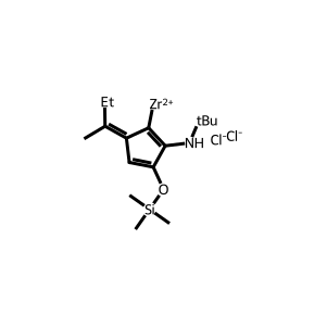 CCC(C)=C1C=C(O[Si](C)(C)C)C(NC(C)(C)C)=[C]1[Zr+2].[Cl-].[Cl-]